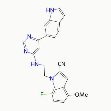 COc1ccc(F)c2c1cc(C#N)n2CCNc1cc(-c2ccc3cc[nH]c3c2)ncn1